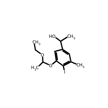 CCOC(C)Oc1cc(C(C)O)cc(C)c1I